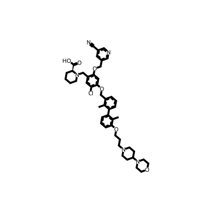 Cc1c(COc2cc(OCc3cncc(C#N)c3)c(CN3CCCC[C@H]3C(=O)O)cc2Cl)cccc1-c1cccc(OCCCN2CCC(N3CCOCC3)CC2)c1C